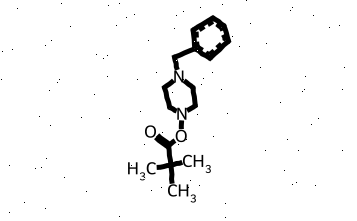 CC(C)(C)C(=O)ON1CCN(Cc2ccccc2)CC1